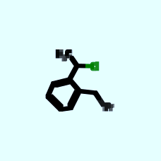 CC(C)Cc1ccccc1C(C)Cl